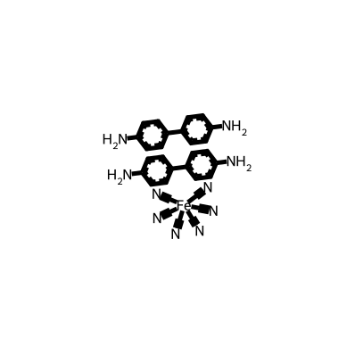 N#[C][Fe]([C]#N)([C]#N)([C]#N)([C]#N)[C]#N.Nc1ccc(-c2ccc(N)cc2)cc1.Nc1ccc(-c2ccc(N)cc2)cc1